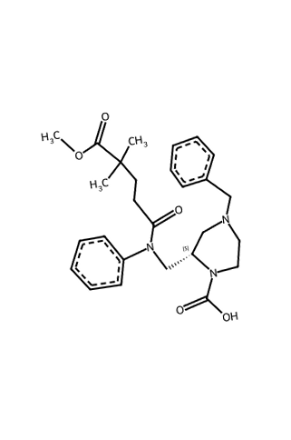 COC(=O)C(C)(C)CCC(=O)N(C[C@@H]1CN(Cc2ccccc2)CCN1C(=O)O)c1ccccc1